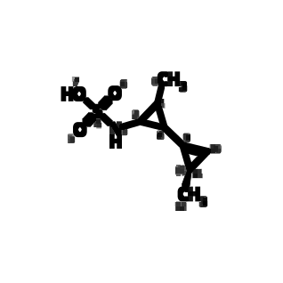 CC1C(NS(=O)(=O)O)C1C1=C[C@H]1C